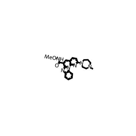 CONC(=O)c1cc2ccc(N3CCCN(C)CC3)nc2n2c1nc1ccccc12